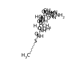 CCCCCCCCCCSCCNC(=O)CCNC(=O)[C@H](O)C(C)(C)COP(=O)(O)OP(=O)(O)OC[C@H]1O[C@@H](n2cnc3c(N)ncnc32)[C@H](O)[C@@H]1OP(=O)(O)O